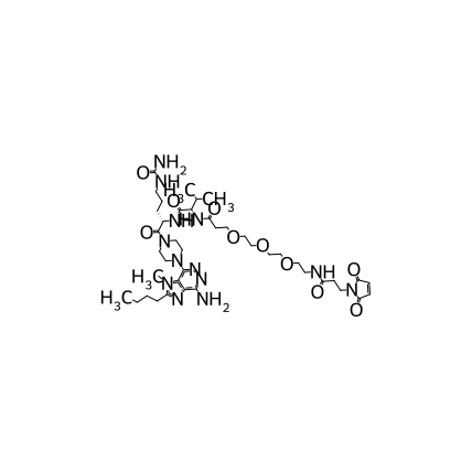 CCCCc1nc2c(N)nnc(N3CCN(C(=O)[C@H](CCCNC(N)=O)NC(=O)[C@@H](NC(=O)CCOCCOCCOCCNC(=O)CCN4C(=O)C=CC4=O)C(C)C)CC3)c2n1C